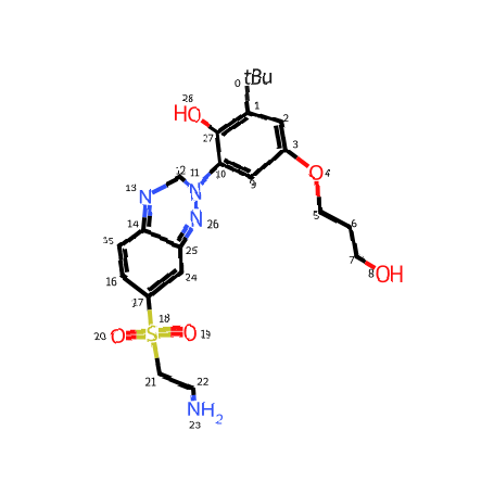 CC(C)(C)c1cc(OCCCO)cc(N2CN=c3ccc(S(=O)(=O)CCN)cc3=N2)c1O